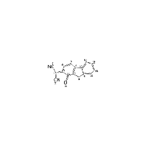 N#CC(C#N)=C1C=CC2=C(Cc3ccccc32)C1=O